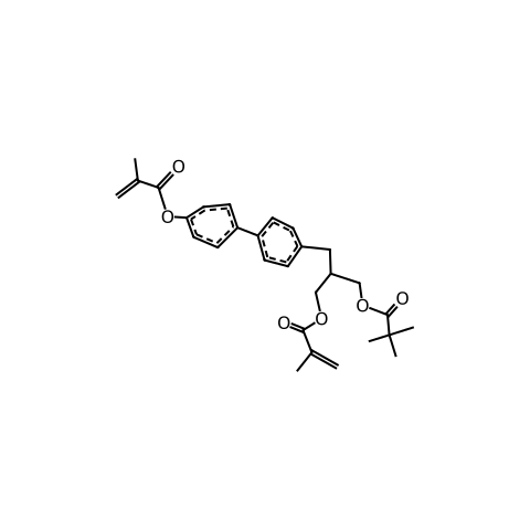 C=C(C)C(=O)OCC(COC(=O)C(C)(C)C)Cc1ccc(-c2ccc(OC(=O)C(=C)C)cc2)cc1